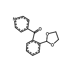 O=C(c1ccncc1)c1ccccc1C1OCCO1